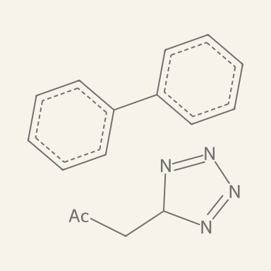 CC(=O)CC1N=NN=N1.c1ccc(-c2ccccc2)cc1